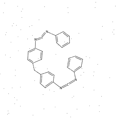 C(=Nc1ccccc1)=Nc1ccc(Cc2ccc(N=C=Nc3ccccc3)cc2)cc1